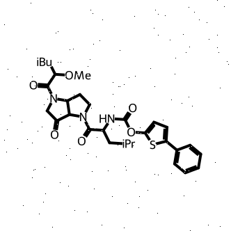 CCC(C)C(OC)C(=O)N1CC(=O)C2C1CCN2C(=O)C(CC(C)C)NC(=O)Oc1ccc(-c2ccccc2)s1